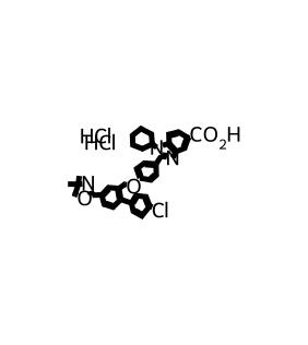 CC1(C)COC(c2ccc(-c3ccc(Cl)cc3)c(COc3ccc(-c4nc5cc(C(=O)O)ccc5n4C4CCCCC4)cc3)c2)=N1.Cl.Cl